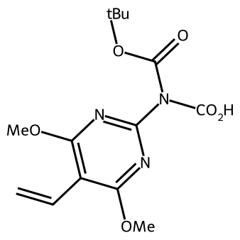 C=Cc1c(OC)nc(N(C(=O)O)C(=O)OC(C)(C)C)nc1OC